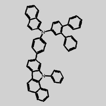 c1ccc(-c2ccc(N(c3ccc(-c4ccc5c6ccc7ccccc7c6n(-c6ccccc6)c5c4)cc3)c3ccc4ccccc4c3)cc2-c2ccccc2)cc1